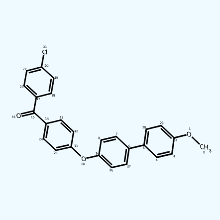 COc1ccc(-c2ccc(Oc3ccc(C(=O)c4ccc(Cl)cc4)cc3)cc2)cc1